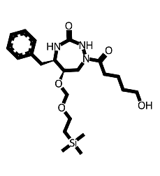 C[Si](C)(C)CCOCO[C@@H]1CN(C(=O)CCCCO)NC(=O)N[C@@H]1Cc1ccccc1